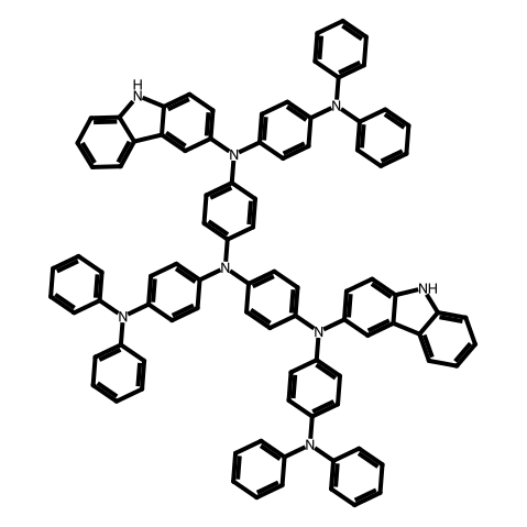 c1ccc(N(c2ccccc2)c2ccc(N(c3ccc(N(c4ccc(N(c5ccccc5)c5ccccc5)cc4)c4ccc5[nH]c6ccccc6c5c4)cc3)c3ccc(N(c4ccc(N(c5ccccc5)c5ccccc5)cc4)c4ccc5[nH]c6ccccc6c5c4)cc3)cc2)cc1